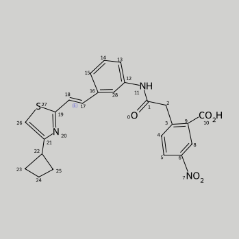 O=C(Cc1ccc([N+](=O)[O-])cc1C(=O)O)Nc1cccc(/C=C/c2nc(C3CCC3)cs2)c1